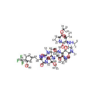 CCC[C@@H](C(=O)N[C@H](C(=O)N1CCC[C@H]1C(=O)OC(C)(C)C)[C@@H](C)CC)N(C)C(=O)C[C@@H](C(=O)N(C)C)N(C)C(=O)[C@H](C1CCCC1)N(C)C(=O)C1(N(C)C(=O)[C@@H]2C[C@@H](OCC)CN2C(=O)[C@@H](N)CCc2ccc(C(F)(F)F)c(OC)c2)CCC1